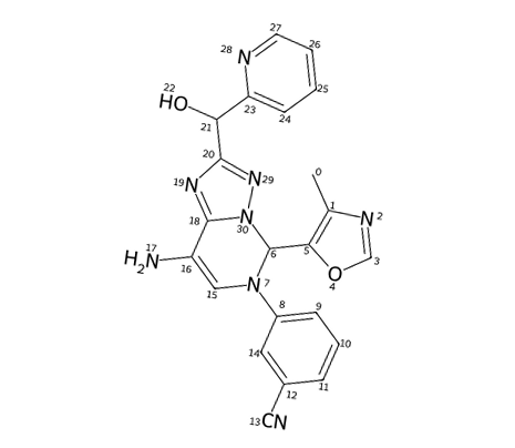 Cc1ncoc1C1N(c2cccc(C#N)c2)C=C(N)c2nc(C(O)c3ccccn3)nn21